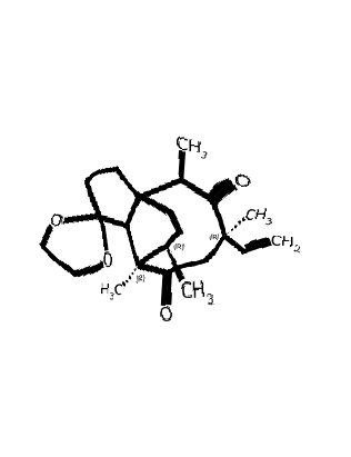 C=C[C@@]1(C)CC(=O)[C@@]2(C)C3C4(CCC3(CC[C@H]2C)C(C)C1=O)OCCO4